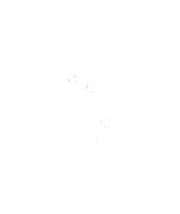 C=CC(=O)Oc1ccc(CCCCCc2ccc(C3Cc4ccccc43)cc2)cc1